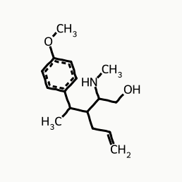 C=CCC(C(CO)NC)C(C)c1ccc(OC)cc1